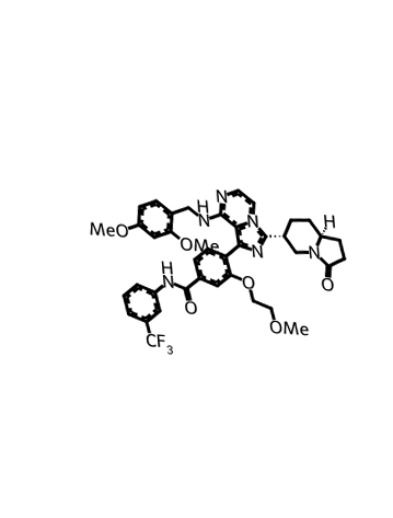 COCCOc1cc(C(=O)Nc2cccc(C(F)(F)F)c2)ccc1-c1nc([C@@H]2CC[C@H]3CCC(=O)N3C2)n2ccnc(NCc3ccc(OC)cc3OC)c12